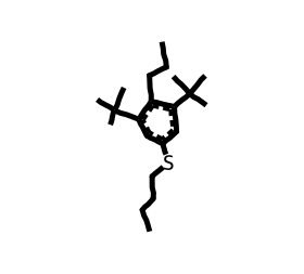 CCCCSc1cc(C(C)(C)C)c(CCC)c(C(C)(C)C)c1